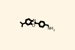 CC(C)c1ccc2nc(-c3ccc(CN)cc3)oc2c1